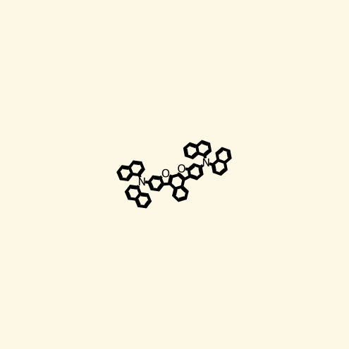 C1=CC2C=CC=C(N(c3ccc4c(c3)oc3c5oc6cc(N(c7cccc8ccccc78)c7cccc8ccccc78)ccc6c5c5ccccc5c43)c3cccc4ccccc34)C2C=C1